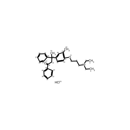 CCN(CC)CCCOc1ccc(C(C)(CC(=O)c2ccccc2)c2ccccc2)cc1C.Cl